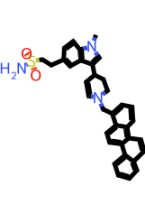 Cn1cc(C2C=CN(Cc3cccc4c3ccc3c5ccccc5ccc43)CC2)c2cc(CCS(N)(=O)=O)ccc21